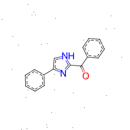 O=C(c1ccccc1)c1nc(-c2ccccc2)c[nH]1